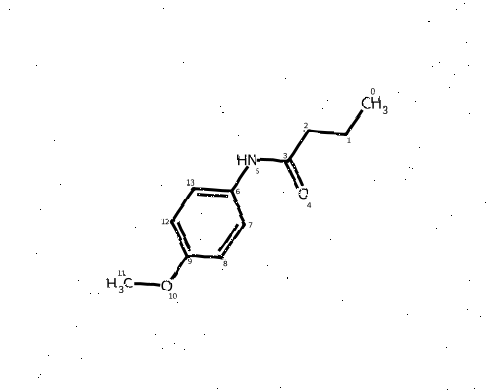 CC[CH]C(=O)Nc1ccc(OC)cc1